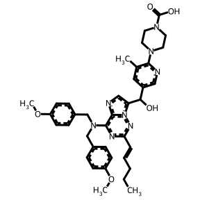 CCCC=Cc1nc(N(Cc2ccc(OC)cc2)Cc2ccc(OC)cc2)c2ncc(C(O)c3cnc(N4CCN(C(=O)O)CC4)c(C)c3)n2n1